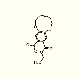 CCOC(=O)c1cc2c(cc1[N+](=O)[O-])OCCOCCO2